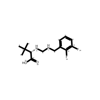 CC(C)(C)[C@H](NCNCc1cccc(F)c1F)C(=O)O